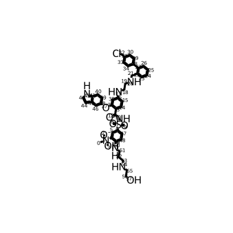 C[N+]([O-])(O)c1cc(S(=O)(=O)NC(=O)c2ccc(NCCNCc3ccccc3-c3ccc(Cl)cc3)cc2Oc2ccc3[nH]ccc3c2)ccc1NCCCNCCO